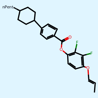 C/C=C/Oc1ccc(OC(=O)c2ccc(C3CCC(CCCCC)CC3)cc2)c(F)c1F